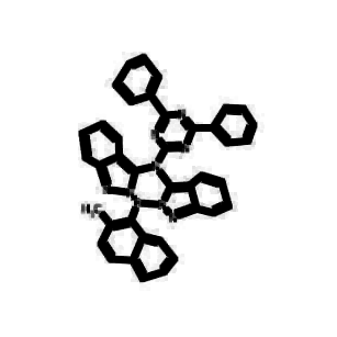 Cc1ccc2ccccc2c1B1n2nc3ccccc3c2N(c2nc(-c3ccccc3)nc(-c3ccccc3)n2)c2c3ccccc3nn21